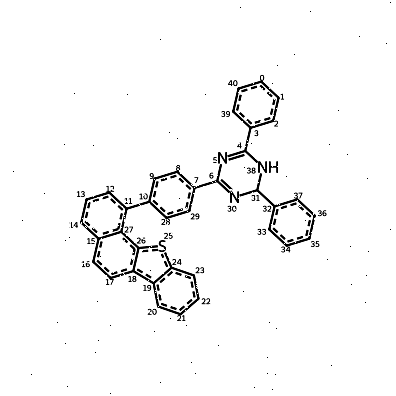 c1ccc(C2=NC(c3ccc(-c4cccc5ccc6c7ccccc7sc6c45)cc3)=NC(c3ccccc3)N2)cc1